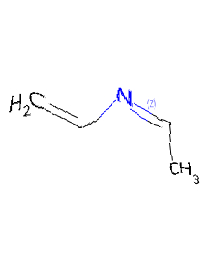 C=C/N=C\C